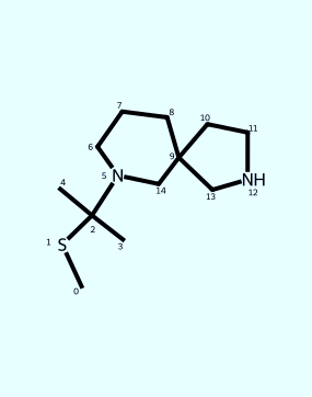 CSC(C)(C)N1CCCC2(CCNC2)C1